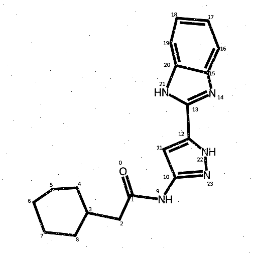 O=C(CC1CCCCC1)Nc1cc(-c2nc3ccccc3[nH]2)[nH]n1